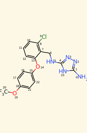 Nc1nnc(NCc2c(Cl)cccc2Oc2ccc(OC(F)(F)F)cc2)[nH]1